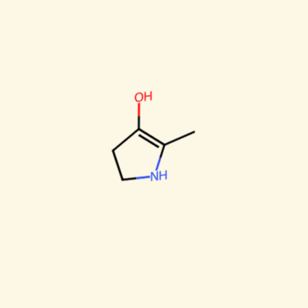 CC1=C(O)CCN1